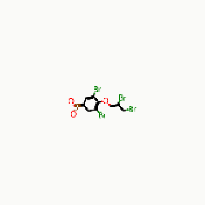 O=S(=O)=C1C=C(Br)C(OCC(Br)CBr)=C(Br)C1